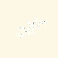 CCc1ccc(N)c(CN)c1CNC(=O)c1cc(F)c(OC)c(F)c1